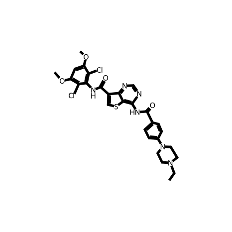 CCN1CCN(c2ccc(C(=O)Nc3ncnc4c(C(=O)Nc5c(Cl)c(OC)cc(OC)c5Cl)csc34)cc2)CC1